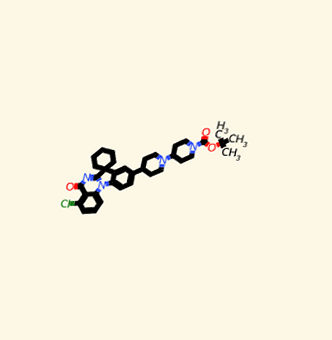 CC(C)(C)OC(=O)N1CCC(N2CCC(c3ccc4c(c3)C3(CCCCC3)c3nc(=O)c5c(Cl)cccc5n3-4)CC2)CC1